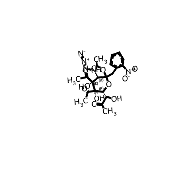 CC(=O)OC1(Cc2ccccc2[N+](=O)[O-])O[C@H](C(O)C(C)=O)[C@@](O)(C(C)=O)[C@@](O)(C(C)=O)[C@H]1NN=[N+]=[N-]